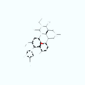 CCN1C(N)C2=C(C(c3ccc(F)cc3)CN(C)C2)N(c2ccc(-n3cnc(Cl)c3)c(OC)c2)C1N